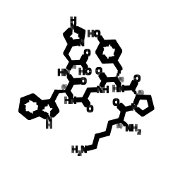 NCCCC[C@H](N)C(=O)N1CCC[C@H]1C(=O)N[C@@H](Cc1ccc(O)cc1)C(=O)NCC(=O)N[C@@H](Cc1c[nH]c2ccccc12)C(=O)N[C@@H](Cc1c[nH]cn1)C(=O)O